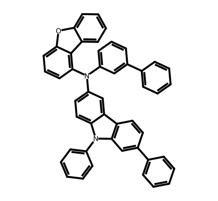 c1ccc(-c2cccc(N(c3ccc4c(c3)c3ccc(-c5ccccc5)cc3n4-c3ccccc3)c3cccc4oc5ccccc5c34)c2)cc1